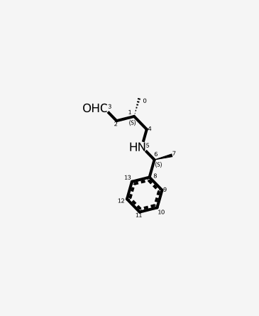 C[C@@H](CC=O)CN[C@@H](C)c1ccccc1